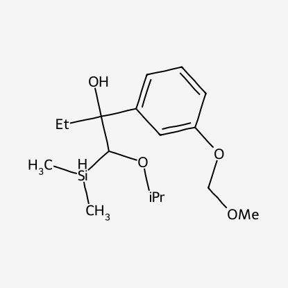 CCC(O)(c1cccc(OCOC)c1)C(OC(C)C)[SiH](C)C